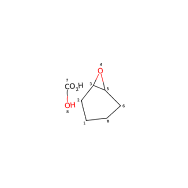 C1CCC2OC2C1.O=C(O)O